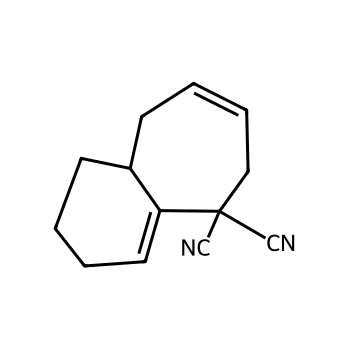 N#CC1(C#N)CC=CCC2CCCC=C21